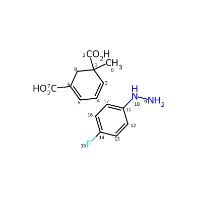 CC1(C(=O)O)C=CC=C(C(=O)O)C1.NNc1ccc(F)cc1